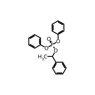 CC(OP(=O)(Oc1ccccc1)Oc1ccccc1)c1ccccc1